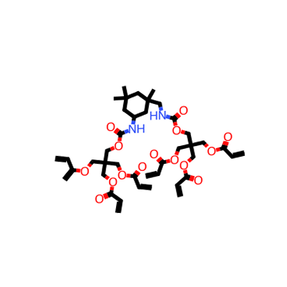 C=CC(=C)OCC(COC(=O)C=C)(COC(=O)C=C)COC(=O)NC1CC(C)(C)CC(C)(CNC(=O)OCC(COC(=O)C=C)(COC(=O)C=C)COC(=O)C=C)C1